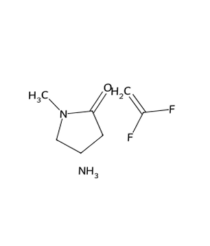 C=C(F)F.CN1CCCC1=O.N